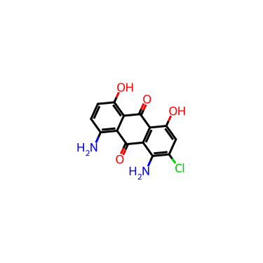 Nc1ccc(O)c2c1C(=O)c1c(N)c(Cl)cc(O)c1C2=O